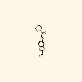 O=Cc1nc2cc(/C=C/C(=O)N3CCOCC3)ccc2s1